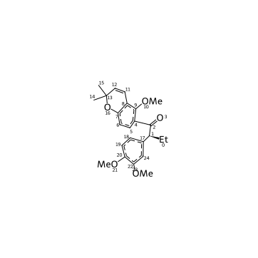 CC[C@H](C(=O)c1ccc2c(c1OC)C=CC(C)(C)O2)c1ccc(OC)c(OC)c1